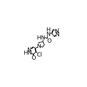 Cn1cc(NC(=O)NC2CCN(c3cn[nH]c(=O)c3Cl)C2)cn1